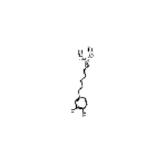 CCO[SiH](CCCCCCc1ccc(F)c(F)c1)OCC